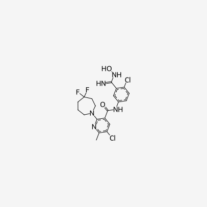 Cc1nc(N2CCCC(F)(F)CC2)c(C(=O)Nc2ccc(Cl)c(C(=N)NO)c2)cc1Cl